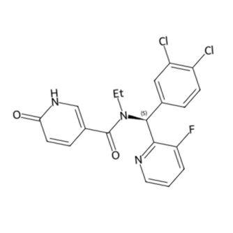 CCN(C(=O)c1ccc(=O)[nH]c1)[C@@H](c1ccc(Cl)c(Cl)c1)c1ncccc1F